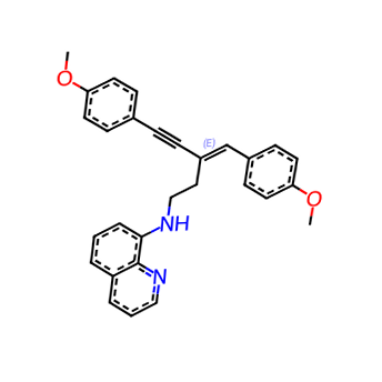 COc1ccc(C#C/C(=C/c2ccc(OC)cc2)CCNc2cccc3cccnc23)cc1